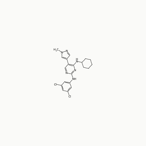 Cn1cc(-c2cnc(Nc3cc(Cl)cc(Cl)c3)nc2NC2CCCCC2)cn1